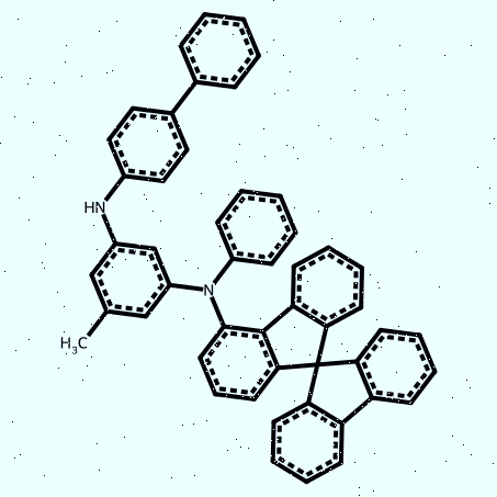 Cc1cc(Nc2ccc(-c3ccccc3)cc2)cc(N(c2ccccc2)c2cccc3c2-c2ccccc2C32c3ccccc3-c3ccccc32)c1